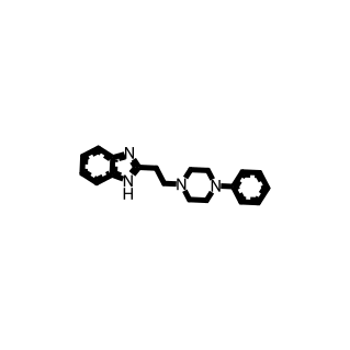 c1ccc(N2CCN(CCc3nc4ccccc4[nH]3)CC2)cc1